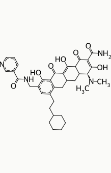 CN(C)[C@@H]1C(O)=C(C(N)=O)C(=O)C2C(O)=C3C(=O)c4c(O)c(CNC(=O)c5cccnc5)cc(CCC5CCCCC5)c4CC3CC21